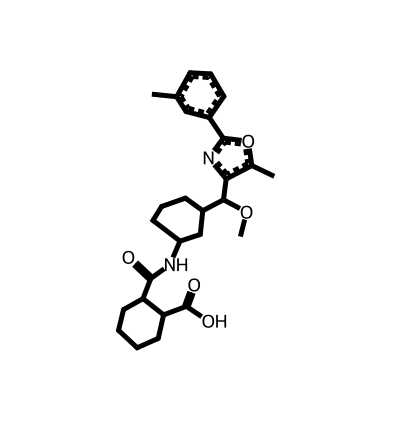 COC(c1nc(-c2cccc(C)c2)oc1C)C1CCCC(NC(=O)C2CCCCC2C(=O)O)C1